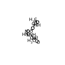 Cc1cccc(NC(=O)c2ccc(Oc3ccnc4[nH]nc(NC5CCCN(C(=O)C6(C)CCOCC6)C5)c34)cc2)n1